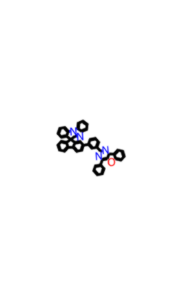 c1ccc(-c2nc(-c3cccc(-c4ccc5c(c4)C4(c6ccccc6-5)c5ccccc5-n5c4nc4ccccc45)c3)nc3c2oc2ccccc23)cc1